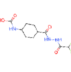 O=C(O)NC1CCC(C(=O)NNC(=O)C(F)F)CC1